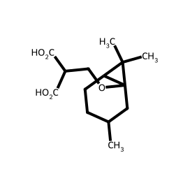 CC1CCC2C(C)(C)C2(OCC(C(=O)O)C(=O)O)C1